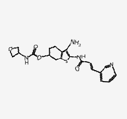 Nc1c(NC(=O)/C=C/c2cccnc2)sc2c1CCC(OC(=O)NC1COC1)C2